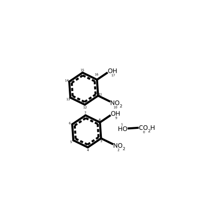 O=C(O)O.O=[N+]([O-])c1ccccc1O.O=[N+]([O-])c1ccccc1O